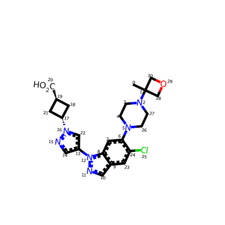 CC1(N2CCN(c3cc4c(cnn4-c4cnn([C@H]5C[C@H](C(=O)O)C5)c4)cc3Cl)CC2)COC1